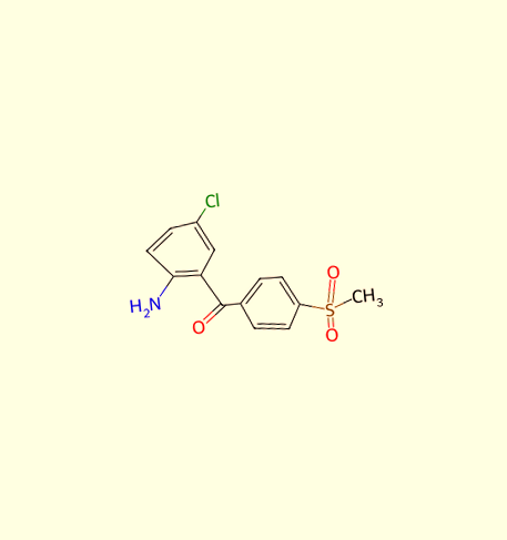 CS(=O)(=O)c1ccc(C(=O)c2cc(Cl)ccc2N)cc1